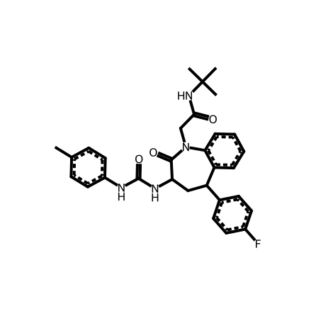 Cc1ccc(NC(=O)NC2CC(c3ccc(F)cc3)c3ccccc3N(CC(=O)NC(C)(C)C)C2=O)cc1